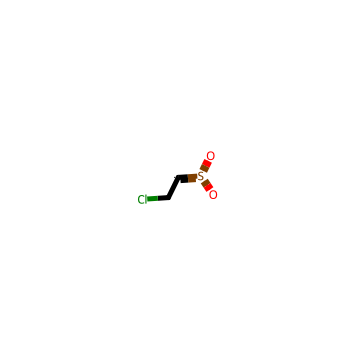 O=S(=O)=[C]CCl